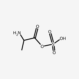 CC(N)C(=O)OS(=O)(=O)O